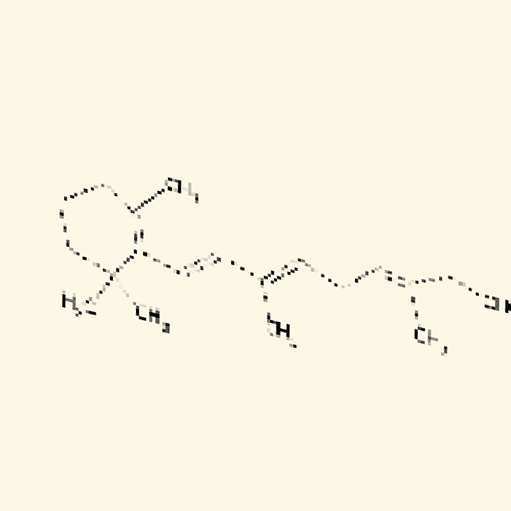 CC1=C(/C=C/C(C)=C/C/C=C(\C)CC=O)C(C)(C)CCC1